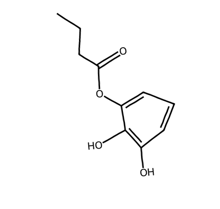 CCCC(=O)Oc1cccc(O)c1O